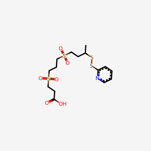 CC(CCS(=O)(=O)CCCS(=O)(=O)CCC(=O)O)SSc1ccccn1